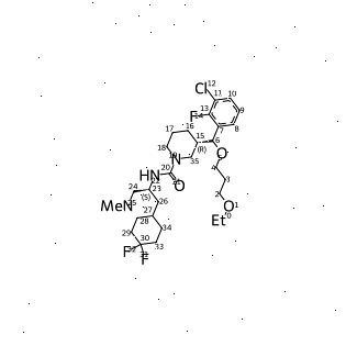 CCOCCCOC(c1cccc(Cl)c1F)[C@@H]1CCCN(C(=O)N[C@H](CNC)CC2CCC(F)(F)CC2)C1